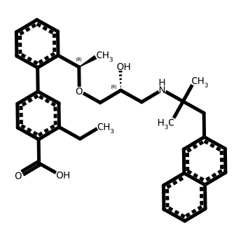 CCc1cc(-c2ccccc2[C@@H](C)OC[C@H](O)CNC(C)(C)Cc2ccc3ccccc3c2)ccc1C(=O)O